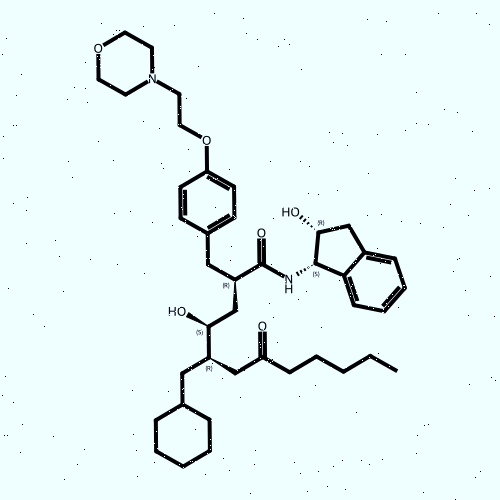 CCCCCC(=O)C[C@@H](CC1CCCCC1)[C@@H](O)C[C@@H](Cc1ccc(OCCN2CCOCC2)cc1)C(=O)N[C@H]1c2ccccc2C[C@H]1O